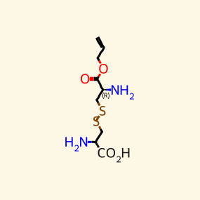 C=CCOC(=O)[C@@H](N)CSSCC(N)C(=O)O